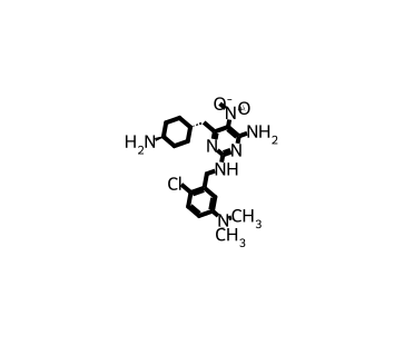 CN(C)c1ccc(Cl)c(CNc2nc(N)c([N+](=O)[O-])c(C[C@H]3CC[C@H](N)CC3)n2)c1